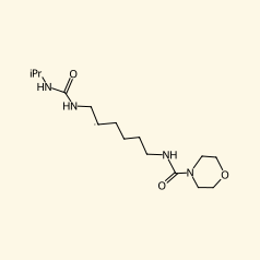 CC(C)NC(=O)NC[CH]CCCCNC(=O)N1CCOCC1